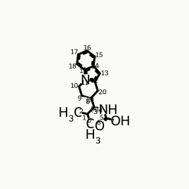 CC(C)[C@@H](NC(=O)O)[C@H]1CCn2c(cc3ccccc32)C1